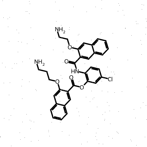 NCCCOc1cc2ccccc2cc1C(=O)Oc1cc(Cl)ccc1NC(=O)c1cc2ccccc2cc1OCCN